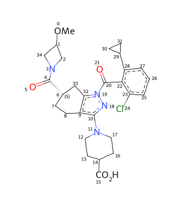 COC1CN(C(=O)[C@H]2CCc3c(N4CCC(C(=O)O)CC4)nn(C(=O)c4c(Cl)cccc4C4CC4)c3C2)C1